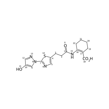 O=C(CCc1cnc(-n2cc(O)cn2)s1)NC1=C(C(=O)O)CCCC1